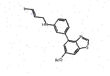 CC(=O)Oc1cc(-c2cccc(NC/C=C/I)c2)c2ncsc2c1